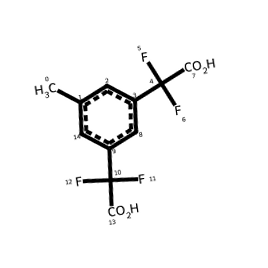 Cc1cc(C(F)(F)C(=O)O)cc(C(F)(F)C(=O)O)c1